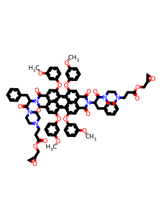 COc1cccc(Oc2cc3c4c(cc(Oc5cccc(OC)c5)c5c6c(Oc7cccc(OC)c7)cc7c8c(cc(Oc9cccc(OC)c9)c(c2c45)c86)C(=O)N(C(Cc2ccccc2)C(=O)N2CCN(CCC(=O)OCC4CO4)CC2)C7=O)C(=O)N(C(Cc2ccccc2)C(=O)N2CCN(CCC(=O)OCC4CO4)CC2)C3=O)c1